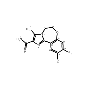 Cc1c(C(N)=O)nc2n1CCOc1cc(F)c(Br)cc1-2